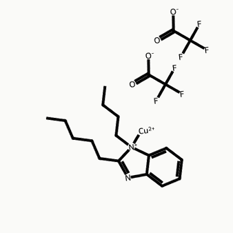 CCCCCC1=Nc2ccccc2[N+]1([Cu+2])CCCC.O=C([O-])C(F)(F)F.O=C([O-])C(F)(F)F